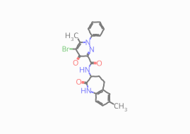 Cc1ccc2c(c1)CCC(NC(=O)c1nn(-c3ccccc3)c(C)c(Br)c1=O)C(=O)N2